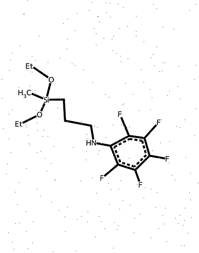 CCO[Si](C)(CCCNc1c(F)c(F)c(F)c(F)c1F)OCC